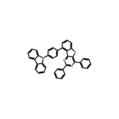 c1ccc(-c2nc(-c3ccccc3)c3sc4cccc(-c5ccc(-n6c7ccccc7c7ccccc76)cc5)c4c3n2)cc1